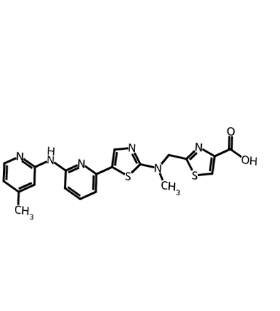 Cc1ccnc(Nc2cccc(-c3cnc(N(C)Cc4nc(C(=O)O)cs4)s3)n2)c1